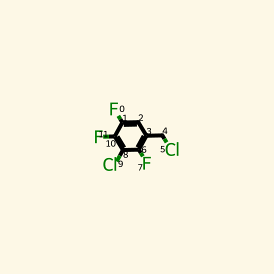 Fc1cc(CCl)c(F)c(Cl)c1F